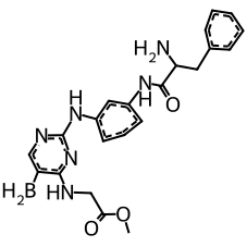 Bc1cnc(Nc2cccc(NC(=O)C(N)Cc3ccccc3)c2)nc1NCC(=O)OC